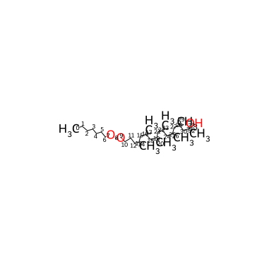 CCCCCCCOCOCCCC(C)CC(C)CC(C)CC(C)CC(C)CC(C)CC(C)O